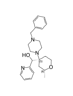 C[C@@H]1C[C@@](C(O)c2ccccn2)(N2CCN(Cc3ccccc3)CC2)CCO1